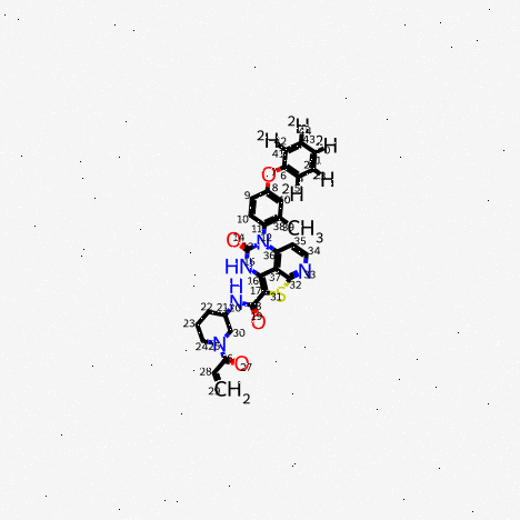 [2H]c1c([2H])c([2H])c(Oc2ccc(N3C(=O)Nc4c(C(=O)NC5CCCN(C(=O)C=C)C5)sc5nccc3c45)c(C)c2)c([2H])c1[2H]